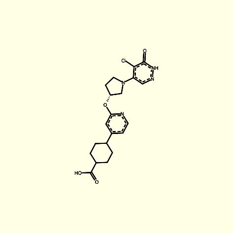 O=C(O)C1CCC(c2ccnc(O[C@@H]3CCN(c4cn[nH]c(=O)c4Cl)C3)c2)CC1